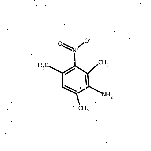 Cc1cc(C)c([N+](=O)[O-])c(C)c1N